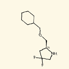 FC1(F)CN[C@H](COCC2CCCCC2)C1